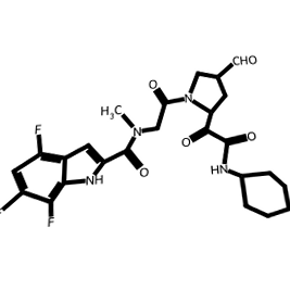 CN(CC(=O)N1CC(C=O)CC1C(=O)C(=O)NC1CCCCC1)C(=O)c1cc2c(F)cc(F)c(F)c2[nH]1